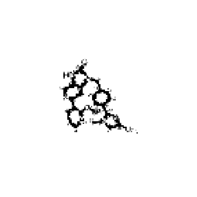 CC(C)Oc1ncccc1-c1cc2c(cn1)[nH]c(=O)n2Cc1ccc(-c2nc(C(F)(F)F)cn2C)cc1